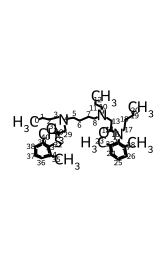 CCCCN(CCCCN(CCC)CC(=O)N(CCCC)c1c(C)cccc1C)CC(=O)Sc1c(C)cccc1C